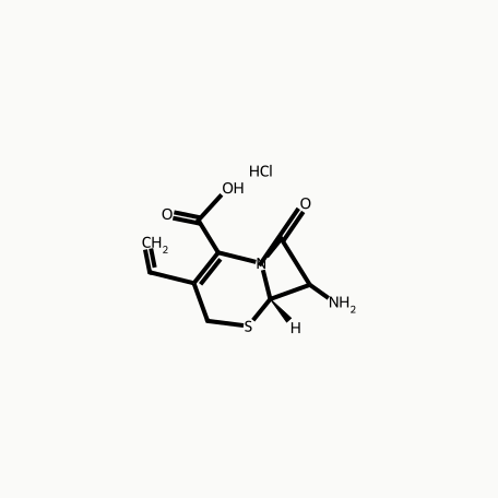 C=CC1=C(C(=O)O)N2C(=O)C(N)[C@@H]2SC1.Cl